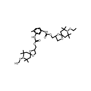 CCON1C(C)(C)CC2(CC1(C)C)OCC(COC(=O)Nc1ccc(C)c(NC(=O)OCC3COC4(CC(C)(C)N(OCS)C(C)(C)C4)O3)c1)O2